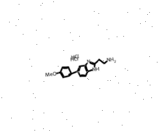 COc1ccc(-c2ccc3[nH]c(CCN)nc3c2)cc1.Cl.Cl